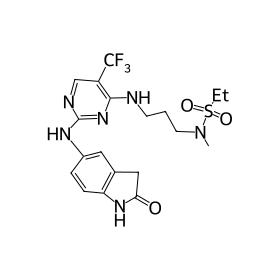 CCS(=O)(=O)N(C)CCCNc1nc(Nc2ccc3c(c2)CC(=O)N3)ncc1C(F)(F)F